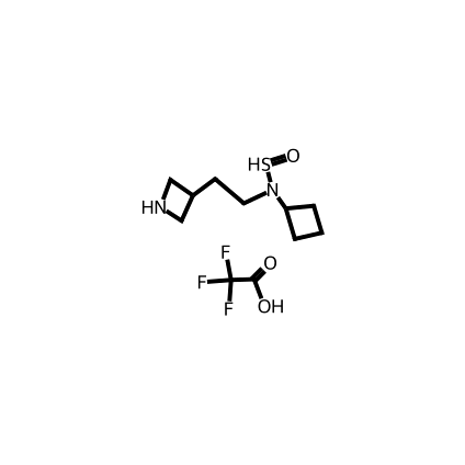 O=C(O)C(F)(F)F.O=[SH]N(CCC1CNC1)C1CCC1